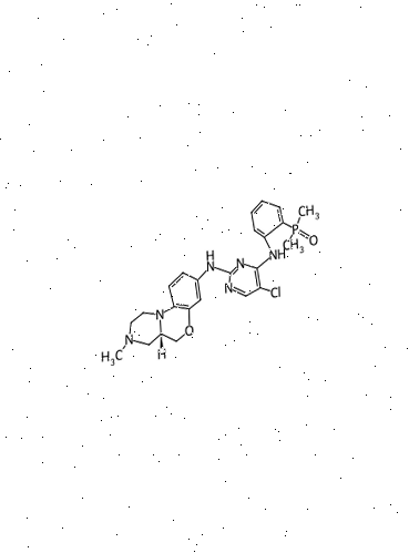 CN1CCN2c3ccc(Nc4ncc(Cl)c(Nc5ccccc5P(C)(C)=O)n4)cc3OC[C@@H]2C1